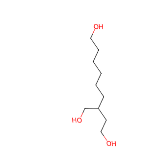 OCCCCCCC(CO)CCO